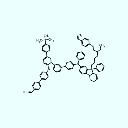 C=Cc1ccc(OCC(CC)CCCCC2(c3ccccc3)c3cc(N(C4=CCC(c5ccc6c(c5)C5CC(c7ccc(C(C)(C)C)cc7)=CC=C5N6c5ccc(-c6ccc(C=C)cc6)cc5)C=C4)c4ccccc4)ccc3C3CCC=CC32)cc1